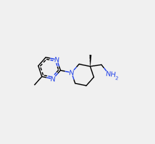 Cc1ccnc(N2CCC[C@@](C)(CN)C2)n1